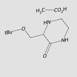 CC(=O)O.CC(C)(C)OCC1NCCNC1=O